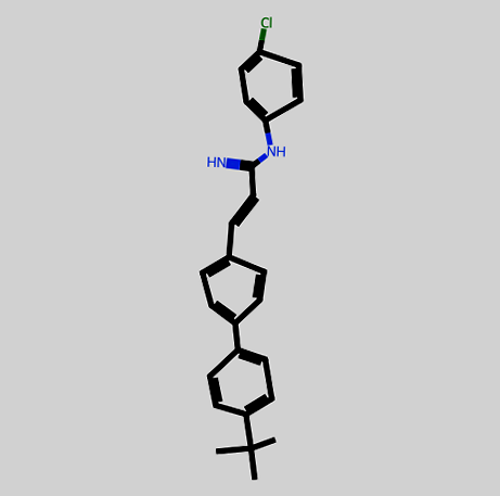 CC(C)(C)c1ccc(-c2ccc(/C=C/C(=N)Nc3ccc(Cl)cc3)cc2)cc1